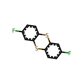 Fc1ccc2c(c1)Sc1ccc(F)cc1S2